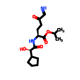 CC(C)OC(=O)[C@H](CCC(=O)C=N)NC(=O)[C@@H](O)C1CCCC1